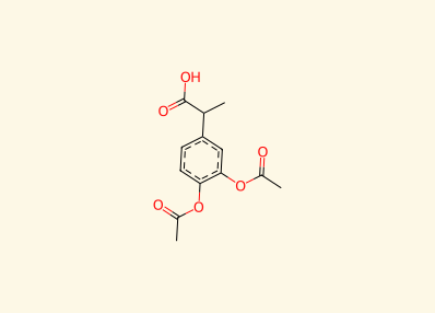 CC(=O)Oc1ccc(C(C)C(=O)O)cc1OC(C)=O